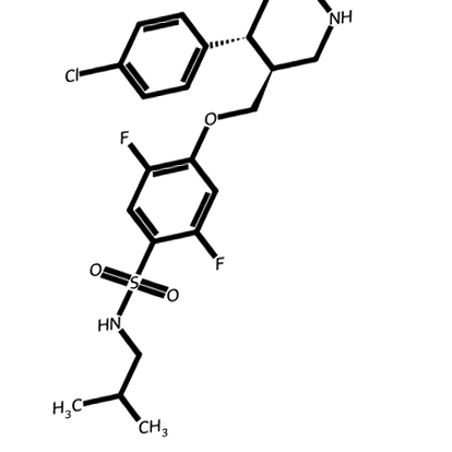 CC(C)CNS(=O)(=O)c1cc(F)c(OC[C@@H]2CNCC[C@H]2c2ccc(Cl)cc2)cc1F